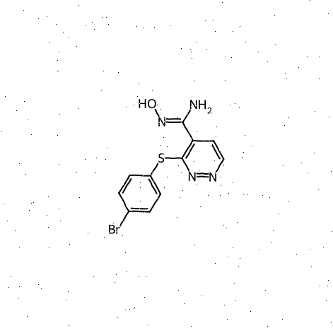 NC(=NO)c1ccnnc1Sc1ccc(Br)cc1